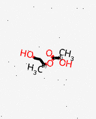 C[C@H](O)C(=O)O[C@@H](C)CCO